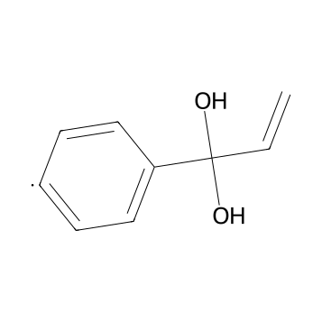 C=CC(O)(O)c1cc[c]cc1